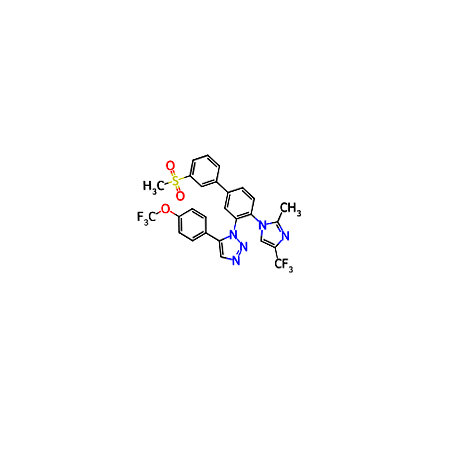 Cc1nc(C(F)(F)F)cn1-c1ccc(-c2cccc(S(C)(=O)=O)c2)cc1-n1nncc1-c1ccc(OC(F)(F)F)cc1